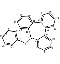 c1ccc(CN2c3ccccc3-c3ccccc3-c3ccccc32)cc1